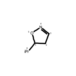 CC(C)C1CC=NO1